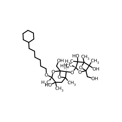 CC1(O)C2(CO)OC1(C)C(C)(O)[C@@](C)(O[C@@]1(C)C3(C)CC(C)(O)[C@](C)(OCCCCCCC4CCCCC4)OC1(CO)O3)O2